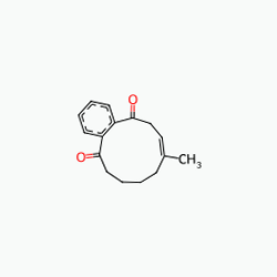 C/C1=C/CC(=O)c2ccccc2C(=O)CCCC1